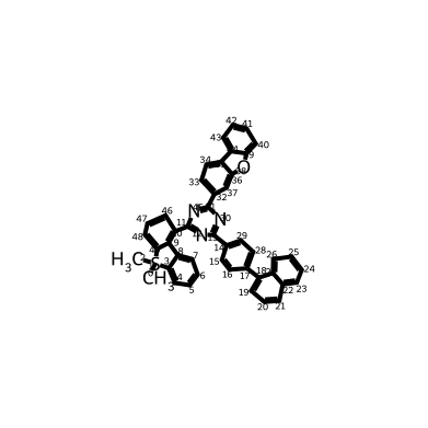 CS1(C)c2ccccc2-c2c(-c3nc(-c4ccc(-c5cccc6ccccc56)cc4)nc(-c4ccc5c(c4)oc4ccccc45)n3)cccc21